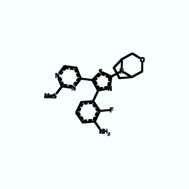 CSc1nccc(-c2sc(N3C4CCC3COC4)nc2-c2cccc(N)c2F)n1